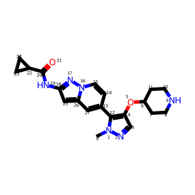 Cn1ncc(OC2CCNCC2)c1-c1ccn2nc(NC(=O)C3CC3)cc2c1